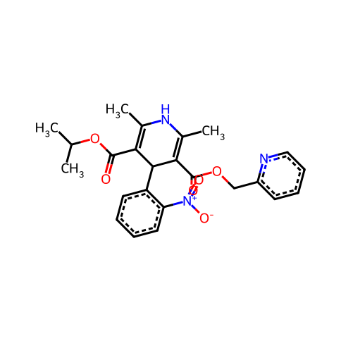 CC1=C(C(=O)OCc2ccccn2)C(c2ccccc2[N+](=O)[O-])C(C(=O)OC(C)C)=C(C)N1